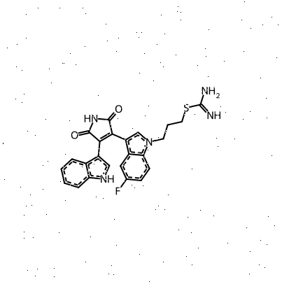 N=C(N)SCCCn1cc(C2=C(c3c[nH]c4ccccc34)C(=O)NC2=O)c2cc(F)ccc21